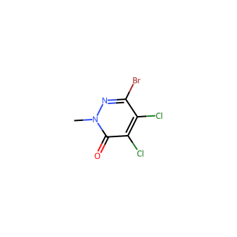 Cn1nc(Br)c(Cl)c(Cl)c1=O